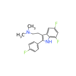 CN(C)CCc1c(-c2ccc(F)cc2)[nH]c2c(F)cc(F)cc12